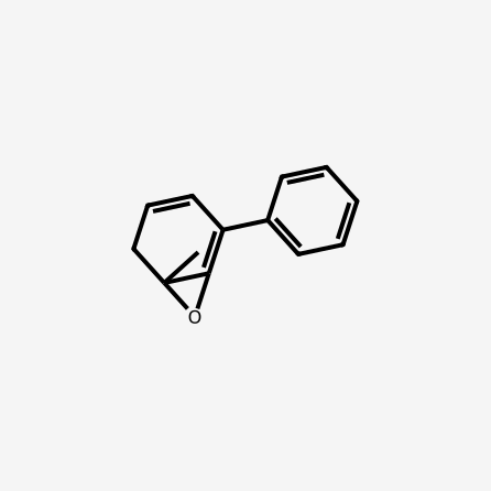 CC12CC=CC(c3ccccc3)=C1O2